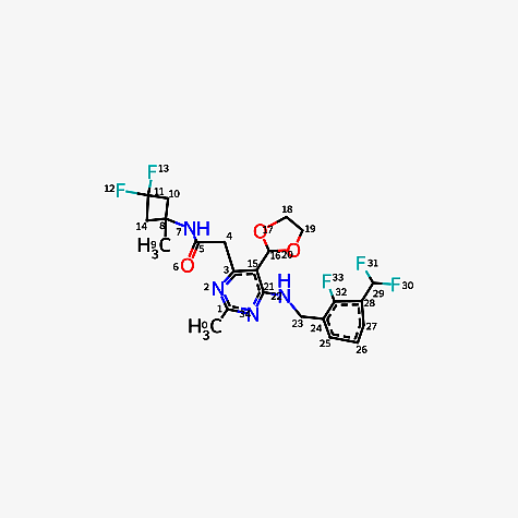 Cc1nc(CC(=O)NC2(C)CC(F)(F)C2)c(C2OCCO2)c(NCc2cccc(C(F)F)c2F)n1